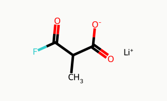 CC(C(=O)[O-])C(=O)F.[Li+]